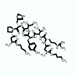 CCCCOC(=O)[C@@H](C)CC(=O)[C@@H]1CCCN1C(=O)[C@H](Cc1c[nH]cn1)NC(=O)[C@@H](NC(=O)[C@H](Cc1ccc(O)cc1)NC(=O)[C@@H](NC(=O)[C@H](CCCNC(=N)N)NC(=O)CN(C)C(=O)OCCCC)C(C)C)C(C)CC